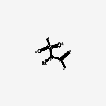 C=C(C)N(CC)S(C)(=O)=O